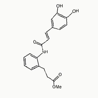 COC(=O)CCc1ccccc1NC(=O)C=Cc1ccc(O)c(O)c1